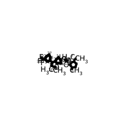 CC1CCC(C(C)C)C(OC(=O)Oc2ccc3c(c2)OC(C)(C)CC3c2cccc(C(F)(F)F)c2)C1